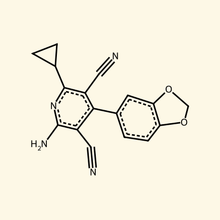 N#Cc1c(N)nc(C2CC2)c(C#N)c1-c1ccc2c(c1)OCO2